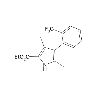 CCOC(=O)c1[nH]c(C)c(-c2ccccc2C(F)(F)F)c1C